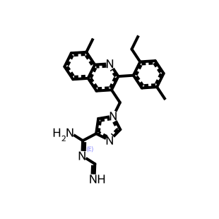 CCc1ccc(C)cc1-c1nc2c(C)cccc2cc1Cn1cnc(/C(N)=N\C=N)c1